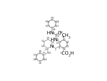 Cc1ccc(C(=O)O)c(CN2CCCCC2Cc2ccccc2)c1NC(=O)Nc1ccccc1